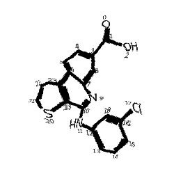 O=C(O)c1ccc2c(c1)nc(Nc1cccc(Cl)c1)c1sccc12